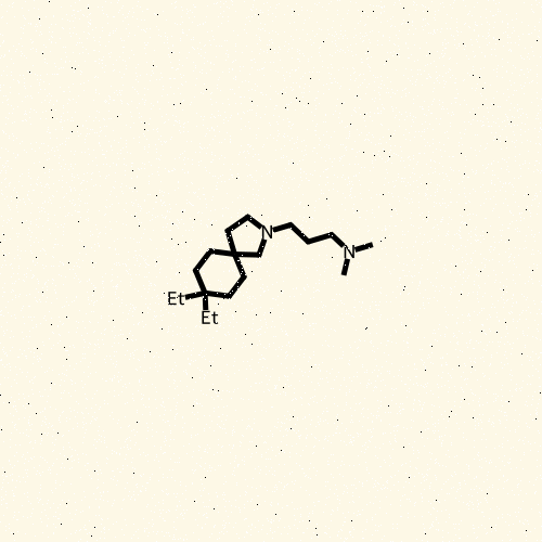 CCC1(CC)CCC2(CCN(CCCN(C)C)C2)CC1